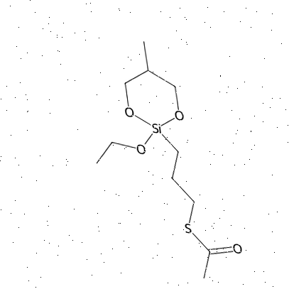 CCO[Si]1(CCCSC(C)=O)OCC(C)CO1